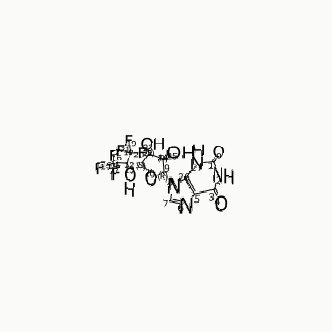 O=c1[nH]c(=O)c2ncn([C@@H]3O[C@H](C(O)(C(F)(F)F)C(F)(F)F)[C@@H](O)[C@H]3O)c2[nH]1